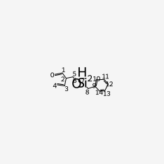 C=CC(C=C)CO[SiH2]Cc1ccccc1